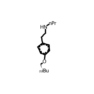 CCCNCCc1ccc(OC[C@@H](C)CC)cc1